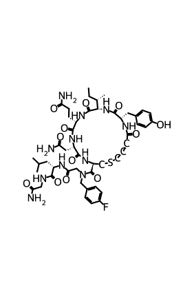 CC[C@H](C)[C@@H]1NC(=O)[C@H](Cc2ccc(O)cc2)NC(=O)CCCSC[C@@H](C(=O)N(CC(=O)N[C@@H](CC(C)C)C(=O)NCC(N)=O)Cc2ccc(F)cc2)NC(=O)[C@H](CC(N)=O)NC(=O)[C@H](CCC(N)=O)NC1=O